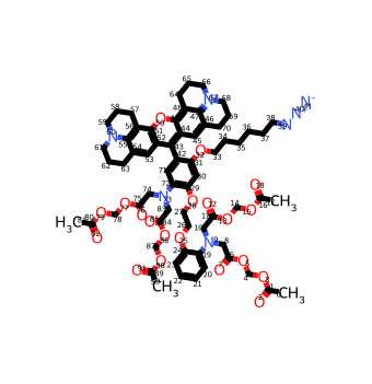 CC(=O)OCOC(=O)CN(CC(=O)OCOC(C)=O)c1ccccc1OCCOc1cc(OCCCCCCN=[N+]=[N-])c(C2=c3cc4c5c(c3Oc3c2cc2c6c3CCCN6CCC2)CCC[N+]=5CCC4)cc1N(CC(=O)OCOC(C)=O)CC(=O)OCOC(C)=O